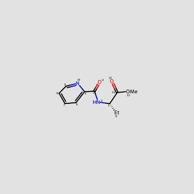 CC[C@H](NC(=O)c1ccccn1)C(=O)OC